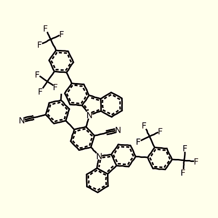 Cc1cc(C#N)cc(-c2ccc(-n3c4ccccc4c4cc(-c5ccc(C(F)(F)F)cc5C(F)(F)F)ccc43)c(C#N)c2-n2c3ccccc3c3cc(-c4ccc(C(F)(F)F)cc4C(F)(F)F)ccc32)c1